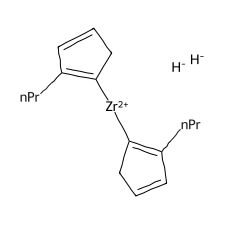 CCCC1=[C]([Zr+2][C]2=C(CCC)C=CC2)CC=C1.[H-].[H-]